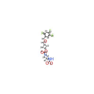 O=C1NC2(CO1)CN(C(=O)OC1CC(COCc3cc(F)c(F)cc3F)C1)C2